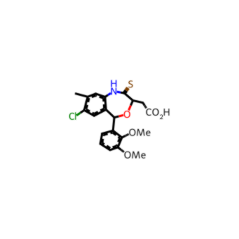 COc1cccc(C2OC(CC(=O)O)C(=S)Nc3cc(C)c(Cl)cc32)c1OC